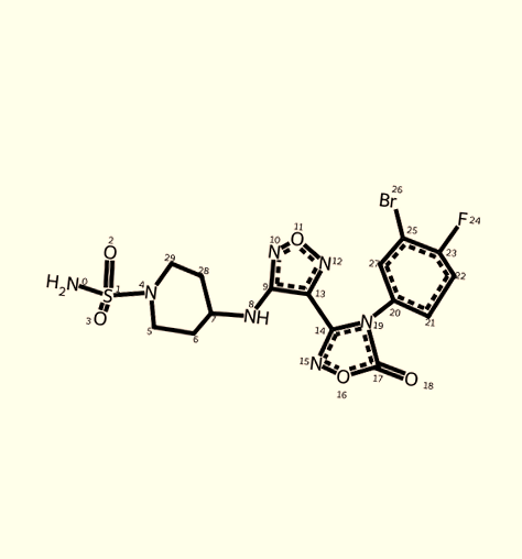 NS(=O)(=O)N1CCC(Nc2nonc2-c2noc(=O)n2-c2ccc(F)c(Br)c2)CC1